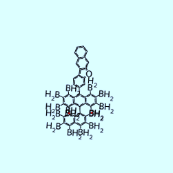 Bc1c(B)c(B)c2c(-c3c4c(B)c(B)c(B)c(B)c4c(-c4ccc5c(c4)oc4cc6ccccc6cc45)c4c(B)c(B)c(B)c(B)c34)c(B)c(B)c(B)c2c1B